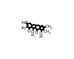 CC(=O)C1=C(O)CC2CC3Cc4cc(C)c(C)c(O)c4C(=O)C3=C(O)C2C1=O